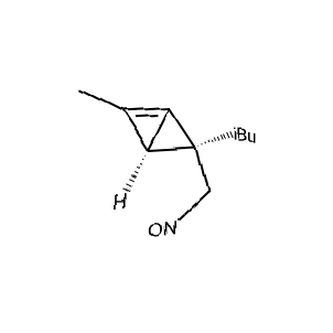 CCC(C)[C@@]1(CN=O)C2=C(C)[C@@H]21